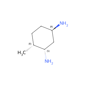 C[C@@H]1CC[C@@H](N)C[C@@H]1N